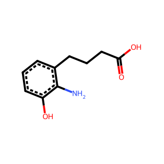 Nc1c(O)cccc1CCCC(=O)O